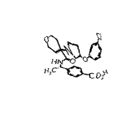 C[C@H](NC(=O)C1(N2CCC(Oc3cccc(Cl)c3)C2)CCOCC1)c1ccc(C(=O)O)cc1